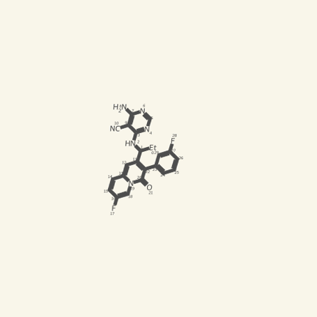 CCC(Nc1ncnc(N)c1C#N)c1cc2ccc(F)cn2c(=O)c1-c1cccc(F)c1